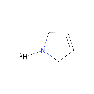 [2H]N1CC=CC1